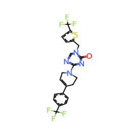 O=c1nc(N2CC=C(c3ccc(C(F)(F)F)cc3)CC2)ncn1Cc1ccc(C(F)(F)F)s1